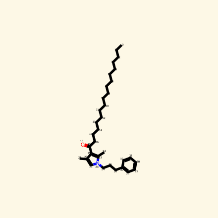 CCCCCCCCCCCCCCCCCC(=O)c1c(C)cn(CCCc2ccccc2)c1C